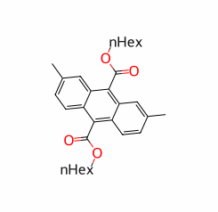 CCCCCCOC(=O)c1c2ccc(C)cc2c(C(=O)OCCCCCC)c2cc(C)ccc12